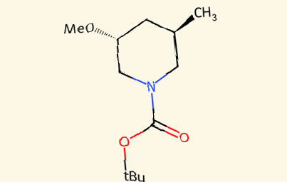 CO[C@@H]1C[C@@H](C)CN(C(=O)OC(C)(C)C)C1